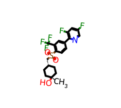 C[C@]1(O)CC[C@H](CS(=O)(=O)c2ccc(-c3ncc(F)cc3F)cc2C(F)(F)F)CC1